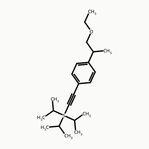 CCOCC(C)c1ccc(C#CS(C(C)C)(C(C)C)C(C)C)cc1